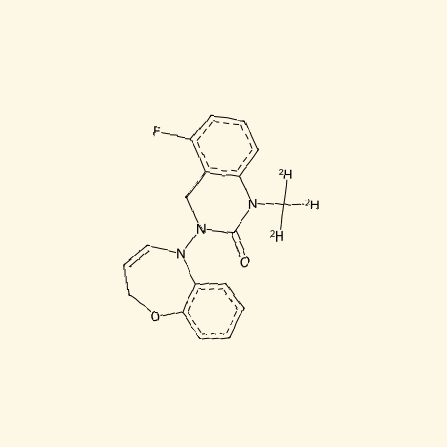 [2H]C([2H])([2H])N1C(=O)N(N2C=CCOc3ccccc32)Cc2c(F)cccc21